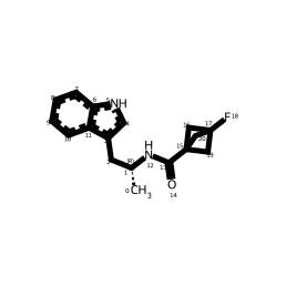 C[C@H](Cc1c[nH]c2ccccc12)NC(=O)C12CC(F)(C1)C2